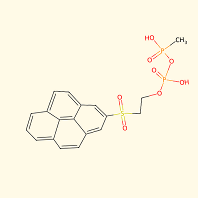 CP(=O)(O)OP(=O)(O)OCCS(=O)(=O)c1cc2ccc3cccc4ccc(c1)c2c34